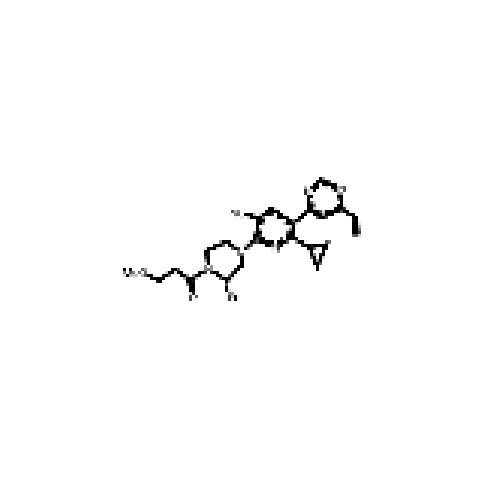 C=Cc1cc(-c2cc(C#N)c(N3CCN(C(=O)CCOC)[C@H](C(C)C)C3)nc2C2CC2)ncn1